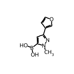 Cn1nc(-c2ccoc2)cc1B(O)O